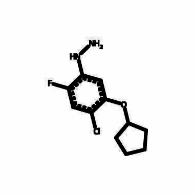 NNc1cc(OC2CCCC2)c(Cl)cc1F